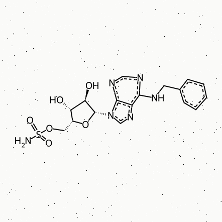 NS(=O)(=O)OC[C@H]1O[C@@H](n2cnc3c(NCc4ccccc4)ncnc32)[C@H](O)[C@H]1O